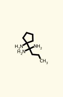 CCCC(N)(N)C1(N)CCCC1